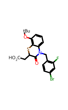 CC(C)(C)Oc1cccc2c1SC(CC(=O)O)C(=O)N2Cc1ccc(Br)cc1F